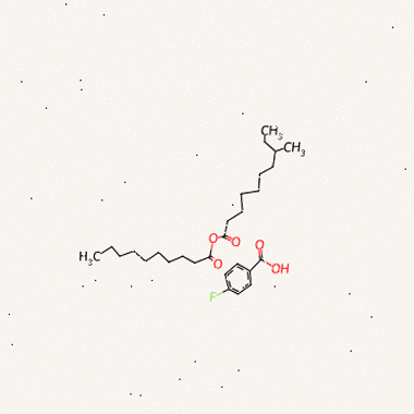 CCCCCCCCCC(=O)OC(=O)CCCCCCC(C)CC.O=C(O)c1ccc(F)cc1